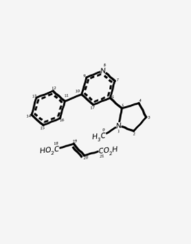 CN1CCCC1c1cncc(-c2ccccc2)c1.O=C(O)C=CC(=O)O